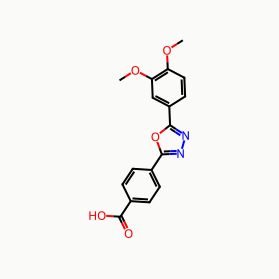 COc1ccc(-c2nnc(-c3ccc(C(=O)O)cc3)o2)cc1OC